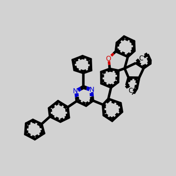 c1ccc(-c2ccc(-c3cc(-c4ccccc4-c4ccc5c(c4)C4(c6ccccc6O5)c5ccccc5-c5ccccc54)nc(-c4ccccc4)n3)cc2)cc1